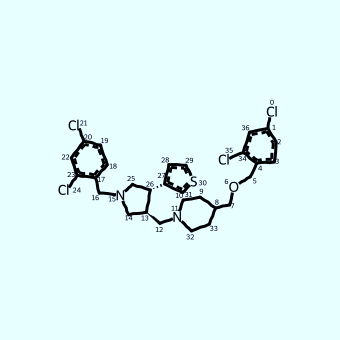 Clc1ccc(COCC2CCN(C[C@H]3CN(Cc4ccc(Cl)cc4Cl)C[C@@H]3c3ccsc3)CC2)c(Cl)c1